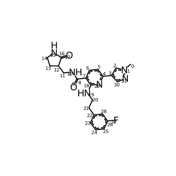 Cn1cc(-c2ccc(C(=O)NCC3CCNC3=O)c(NCCc3cccc(F)c3)n2)cn1